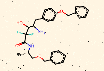 CC(C)[C@@H](COCc1ccccc1)NC(=O)C(F)(F)C(O)C(N)Cc1ccc(OCc2ccccc2)cc1